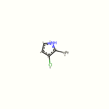 CCCc1[nH]ccc1Cl